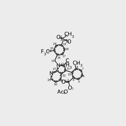 CC(=O)OOC(=O)c1cccc(C)c1-c1c(C)n(Cc2ccc(S(C)(=O)=O)cc2C(F)(F)F)c2ncccc12